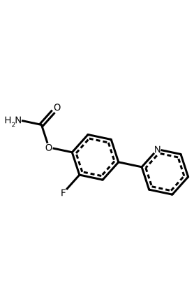 NC(=O)Oc1ccc(-c2ccccn2)cc1F